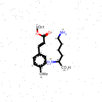 CCCCCCCCOC(=O)C=Cc1ccc(OC)cc1.NCCCCC(N)C(=O)O